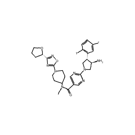 CN(C(=O)c1cnc(N2C[C@H](c3cc(F)ccc3F)[C@@H](N)C2)nc1)C1CCN(c2nc([C@@H]3CCCO3)no2)CC1